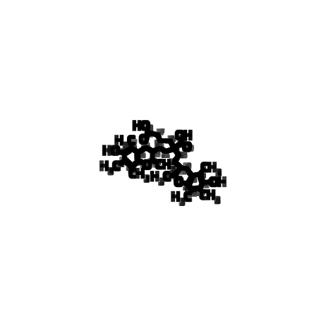 Cc1c(C)c2c(c(C)c1O)CC(CCC(CCCC(=O)O)(CCC1Cc3c(C)c(O)c(C)c(C)c3OC1C)C(=O)O)C(C)O2